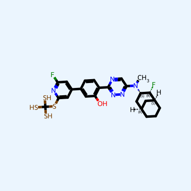 CN(c1cnc(-c2ccc(-c3cc(F)nc(SC(S)(S)S)c3)cc2O)nn1)[C@H]1C[C@@H]2CCC[C@@H](C2)[C@H]1F